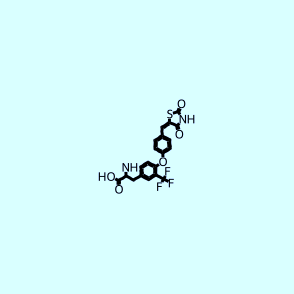 NC(Cc1ccc(Oc2ccc(/C=C3/SC(=O)NC3=O)cc2)c(C(F)(F)F)c1)C(=O)O